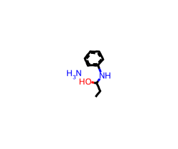 CCC(O)Nc1ccccc1.N